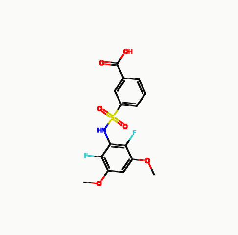 COc1cc(OC)c(F)c(NS(=O)(=O)c2cccc(C(=O)O)c2)c1F